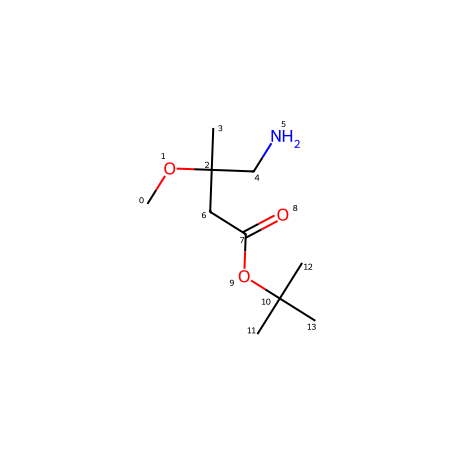 COC(C)(CN)CC(=O)OC(C)(C)C